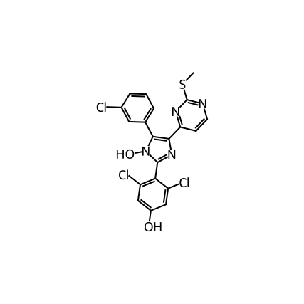 CSc1nccc(-c2nc(-c3c(Cl)cc(O)cc3Cl)n(O)c2-c2cccc(Cl)c2)n1